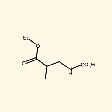 CCOC(=O)C(C)CNC(=O)O